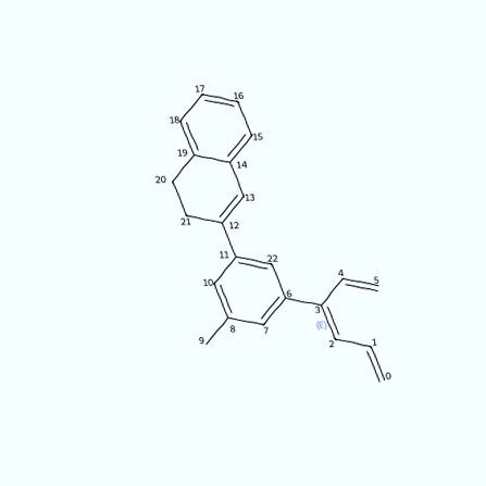 C=C/C=C(\C=C)c1cc(C)cc(C2=Cc3ccccc3CC2)c1